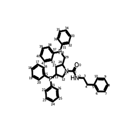 O=C(NCCc1ccccc1)N1CC(P(c2ccccc2)c2ccccc2)CC1CP(c1ccccc1)c1ccccc1